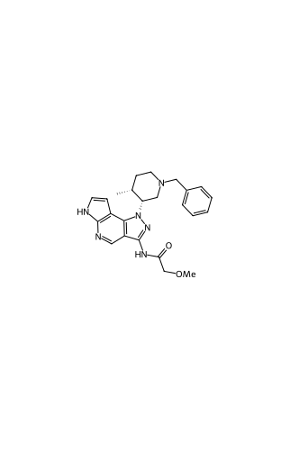 COCC(=O)Nc1nn([C@H]2CN(Cc3ccccc3)CC[C@H]2C)c2c1cnc1[nH]ccc12